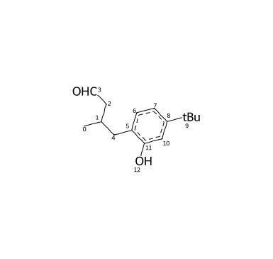 CC(CC=O)Cc1ccc(C(C)(C)C)cc1O